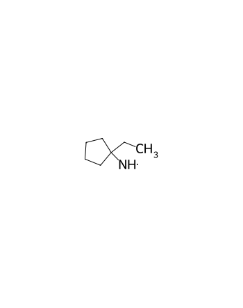 CCC1([NH])CCCC1